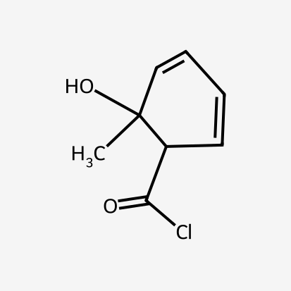 CC1(O)C=CC=CC1C(=O)Cl